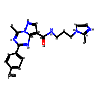 COc1ccc(-c2nc(C)n3ncc(C(=O)NCCCn4ccnc4C)c3n2)cc1